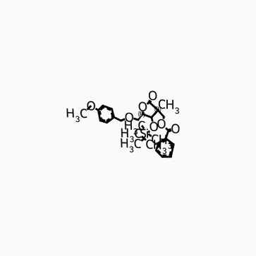 COc1ccc(COC[C@H]2OC(=O)[C@](C)(COC(=O)c3ccccc3)C2O[Si](C)(C)C(C)(C)C)cc1